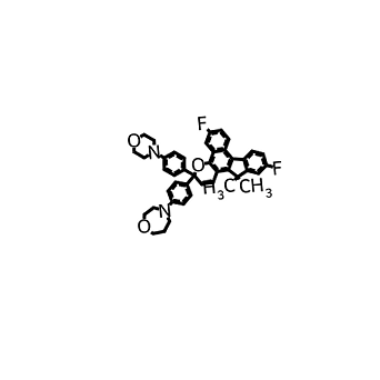 CC1(C)c2cc(F)ccc2-c2c1c1c(c3cc(F)ccc23)OC(c2ccc(N3CCCOCC3)cc2)(c2ccc(N3CCOCC3)cc2)C=C1